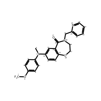 CN(c1ccc(OC(F)(F)F)cc1)c1ccc2c(c1)C(=O)N(Cc1ccccn1)CCO2